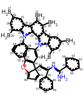 Bc1cc(B)c2c(c1)c1c(B)c(B)c3c4cc(B)cc(B)c4n(-c4c#cccc4)c3c1n2C1=CC2=C(CC1)OC1=CC=CC12/C=C(/N=C(\N)c1ccccc1)c1ccccc1